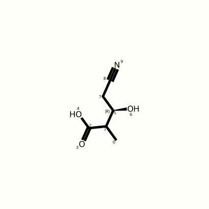 CC(C(=O)O)[C@H](O)CC#N